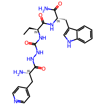 CC[C@H](NC(=O)NNC(=O)[C@@H](N)Cc1ccncc1)C(=O)N[C@@H](Cc1c[nH]c2ccccc12)C(N)=O